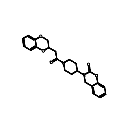 O=C(CC1COc2ccccc2O1)N1CCC(N2Cc3ccccc3OC2=O)CC1